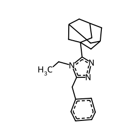 CCn1c(Cc2ccccc2)nnc1C12CC3CC(CC(C3)C1)C2